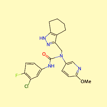 COc1ccc(N(Cc2n[nH]c3c2CCCC3)C(=O)Nc2ccc(F)c(Cl)c2)cn1